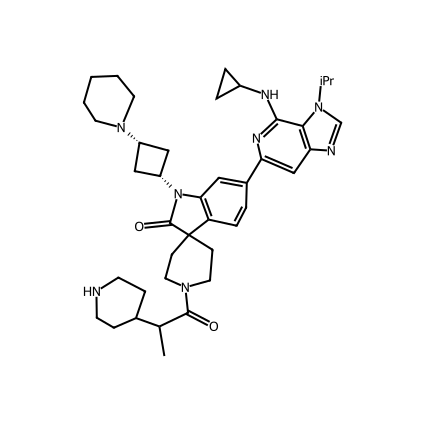 CC(C(=O)N1CCC2(CC1)C(=O)N([C@H]1C[C@@H](N3CCCCC3)C1)c1cc(-c3cc4ncn(C(C)C)c4c(NC4CC4)n3)ccc12)C1CCNCC1